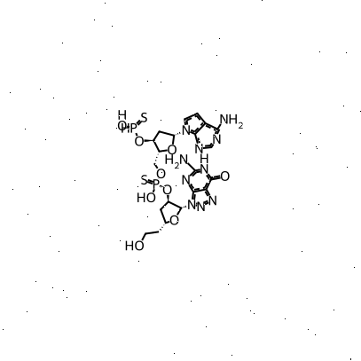 Nc1nc2c(nnn2[C@@H]2O[C@H](CCO)C[C@H]2OP(O)(=S)OC[C@H]2O[C@@H](n3ccc4c(N)ncnc43)C[C@@H]2O[PH](O)=S)c(=O)[nH]1